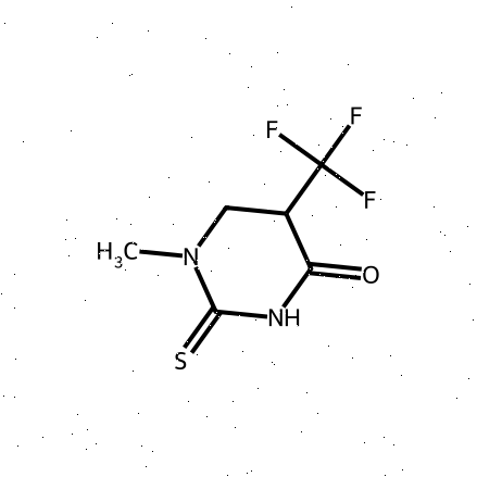 CN1CC(C(F)(F)F)C(=O)NC1=S